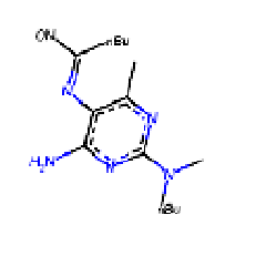 CCCC/C(N=O)=N\c1c(C)nc(N(C)CCCC)nc1N